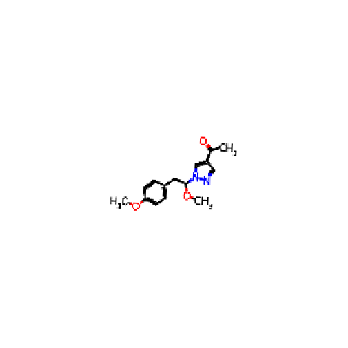 COc1ccc(CC(OC)n2cc(C(C)=O)cn2)cc1